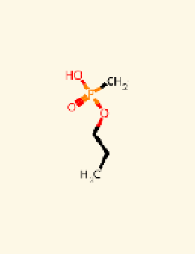 [CH2]P(=O)(O)OCCC